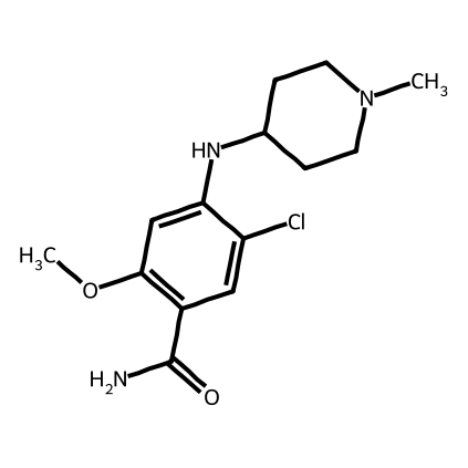 COc1cc(NC2CCN(C)CC2)c(Cl)cc1C(N)=O